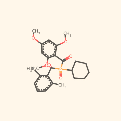 COc1cc(OC)c(C(=O)P(=O)(C(=O)c2c(C)cccc2C)C2CCCCC2)c(OC)c1